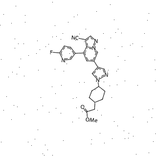 COC(=O)CC1CCC(n2cc(-c3cc(-c4ccc(F)nc4)c4c(C#N)cnn4c3)cn2)CC1